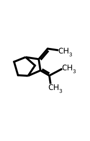 CC=C1C(=C(C)C)C2CCC1C2